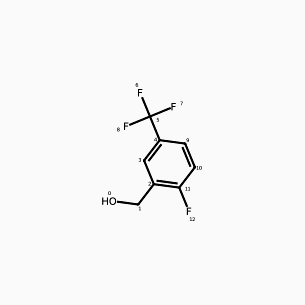 OCc1cc(C(F)(F)F)ccc1F